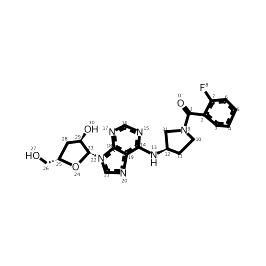 O=C(c1ccccc1F)N1CC[C@@H](Nc2ncnc3c2ncn3[C@@H]2O[C@H](CO)C[C@H]2O)C1